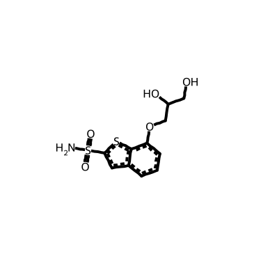 NS(=O)(=O)c1cc2cccc(OCC(O)CO)c2s1